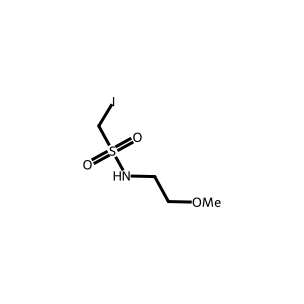 COCCNS(=O)(=O)CI